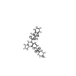 CN1CCN(S(=O)(=O)c2ccc(C(CC3CCCC3)C(=O)Nc3nc4ccccc4n3C)cc2)CC1